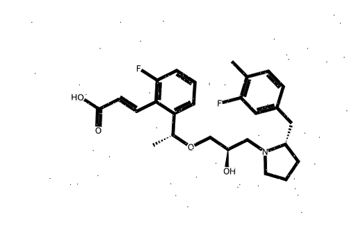 Cc1ccc(C[C@@H]2CCCN2C[C@@H](O)CO[C@H](C)c2cccc(F)c2C=CC(=O)O)cc1F